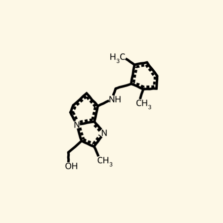 Cc1cccc(C)c1CNc1cccn2c(CO)c(C)nc12